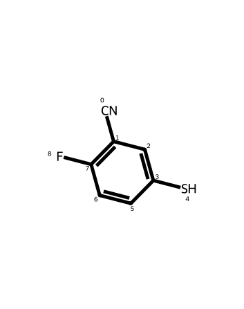 N#Cc1cc(S)ccc1F